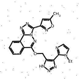 CCn1ccnc1-c1nn[nH]c1COc1nn2c(-c3cc(C)on3)nnc2c2ccccc12